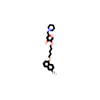 O=c1cc(CN2CCCCC2)occ1OCCCCCSc1cccc2cc(C(F)(F)F)ccc12